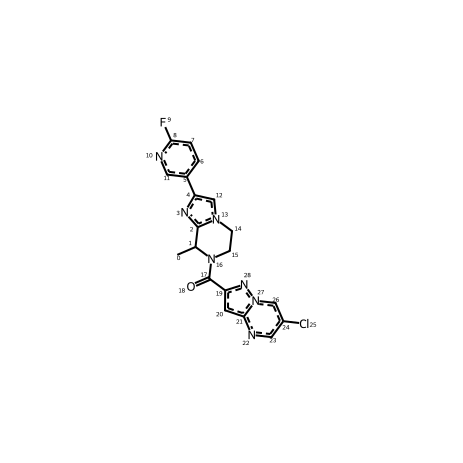 CC1c2nc(-c3ccc(F)nc3)cn2CCN1C(=O)c1cc2ncc(Cl)cn2n1